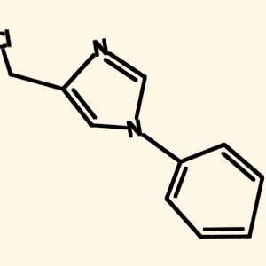 ClCc1cn(-c2ccccc2)cn1